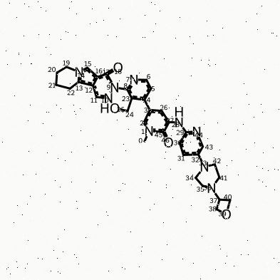 Cn1cc(-c2ccnc(-n3ncc4c5n(cc4c3=O)CCCC5)c2CO)cc(Nc2ccc(N3CCN(C4COC4)CC3)cn2)c1=O